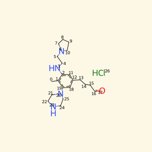 Cc1c(NCCN2CCCC2)cc(CCCC=O)cc1N1CCNCC1.Cl